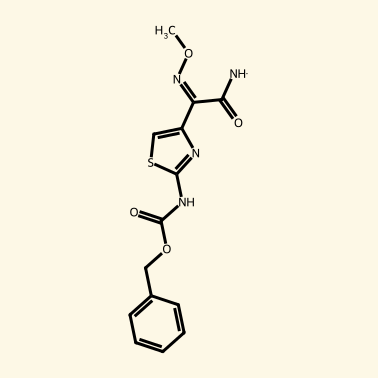 CON=C(C([NH])=O)c1csc(NC(=O)OCc2ccccc2)n1